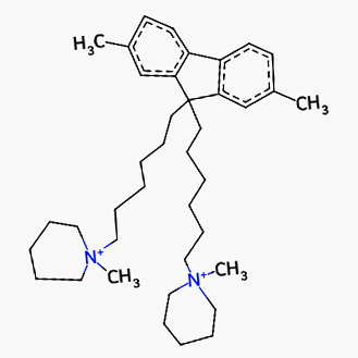 Cc1ccc2c(c1)C(CCCCCC[N+]1(C)CCCCC1)(CCCCCC[N+]1(C)CCCCC1)c1cc(C)ccc1-2